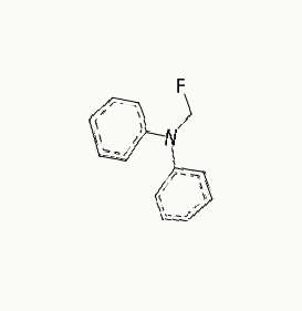 FCN(c1ccccc1)c1ccccc1